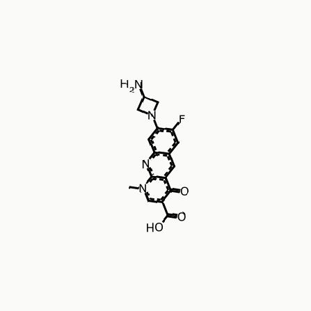 Cn1cc(C(=O)O)c(=O)c2cc3cc(F)c(N4CC(N)C4)cc3nc21